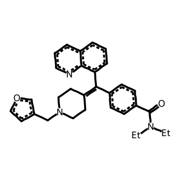 CCN(CC)C(=O)c1ccc(C(=C2CCN(Cc3ccoc3)CC2)c2cccc3cccnc23)cc1